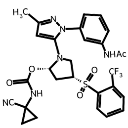 CC(=O)Nc1cccc(-n2nc(C)cc2N2C[C@H](S(=O)(=O)c3ccccc3C(F)(F)F)C[C@@H]2OC(=O)NC2(C#N)CC2)c1